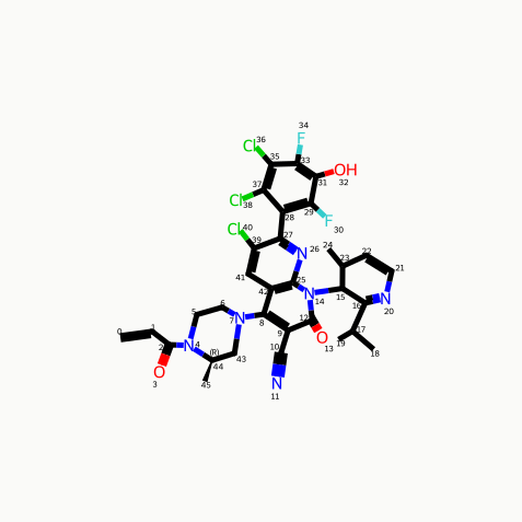 C=CC(=O)N1CCN(c2c(C#N)c(=O)n(C3C(C(C)C)=NC=CC3C)c3nc(-c4c(F)c(O)c(F)c(Cl)c4Cl)c(Cl)cc23)C[C@H]1C